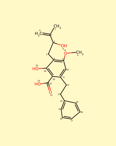 C=C(C)C(O)Cc1c(OC)cc(CCc2ccccc2)c(C(=O)O)c1O